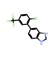 FC(F)(F)c1ccc(Cl)c(-c2ccc3c(c2)NCN3)c1